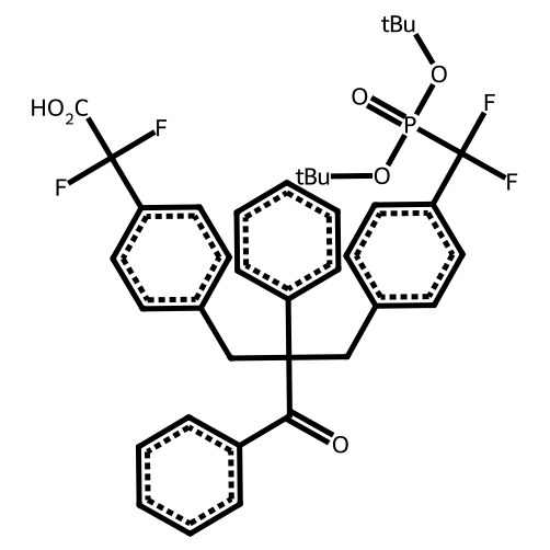 CC(C)(C)OP(=O)(OC(C)(C)C)C(F)(F)c1ccc(CC(Cc2ccc(C(F)(F)C(=O)O)cc2)(C(=O)c2ccccc2)c2ccccc2)cc1